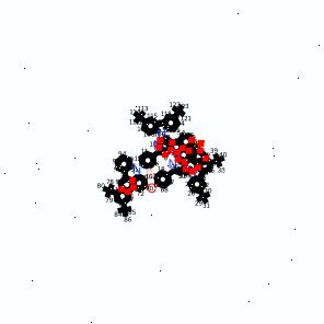 CC(C)(C)c1cc(-c2cc(-c3ccc4c(c3)B3c5cc(-c6cc(-n7c8ccc(C(C)(C)C)cc8c8cc(C(C)(C)C)ccc87)cc(-n7c8ccccc8c8ccc9sc%10ccccc%10c9c87)n6)ccc5Oc5cc(-c6cc(C(C)(C)C)cc(C(C)(C)C)c6)cc(c53)N4c3ccccc3-c3ccccc3)nc(-n3c4ccc(C(C)(C)C)cc4c4cc(C(C)(C)C)ccc43)c2)cc(C(C)(C)C)c1